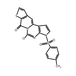 Cc1ccc(S(=O)(=O)n2ccc3c2nc(Cl)n2c(=O)c4sccc4cc32)cc1